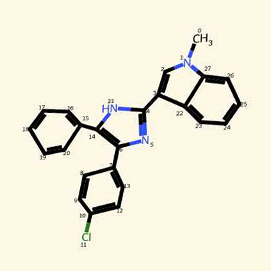 Cn1cc(-c2nc(-c3ccc(Cl)cc3)c(-c3ccccc3)[nH]2)c2ccccc21